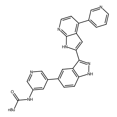 CCCCC(=O)Nc1cncc(-c2ccc3[nH]nc(-c4cc5c(-c6cccnc6)ccnc5[nH]4)c3c2)c1